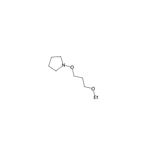 CCOCCCON1CCCC1